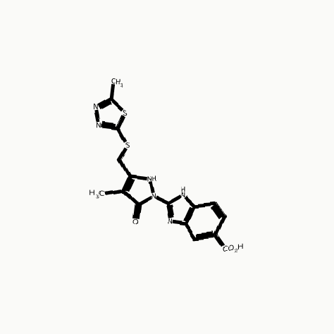 Cc1nnc(SCc2[nH]n(-c3nc4cc(C(=O)O)ccc4[nH]3)c(=O)c2C)s1